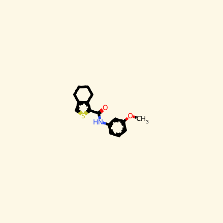 COc1cccc(NC(=O)c2scc3c2CCCC3)c1